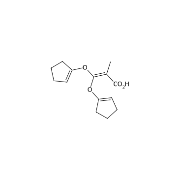 CC(C(=O)O)=C(OC1=CCCC1)OC1=CCCC1